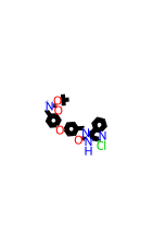 CN(Cc1ccc(Oc2ccc(Cn3c(=O)[nH]c4c(Cl)nc5ccccc5c43)cc2)cc1)C(=O)OC(C)(C)C